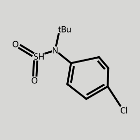 [CH2]C(C)(C)N(c1ccc(Cl)cc1)[SH](=O)=O